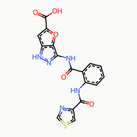 O=C(Nc1ccccc1C(=O)Nc1n[nH]c2cc(C(=O)O)oc12)c1cscn1